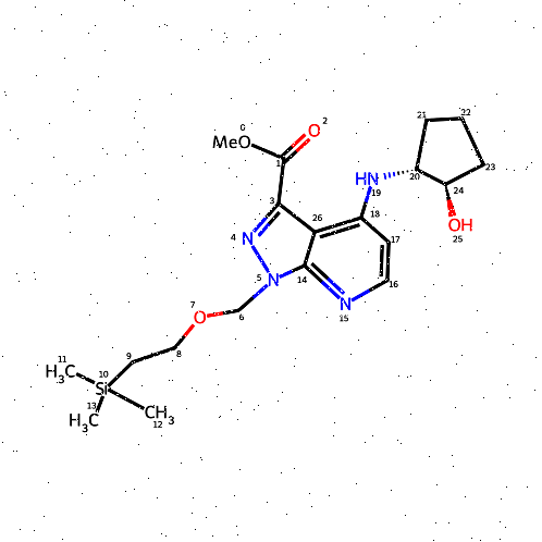 COC(=O)c1nn(COCC[Si](C)(C)C)c2nccc(N[C@@H]3CCC[C@H]3O)c12